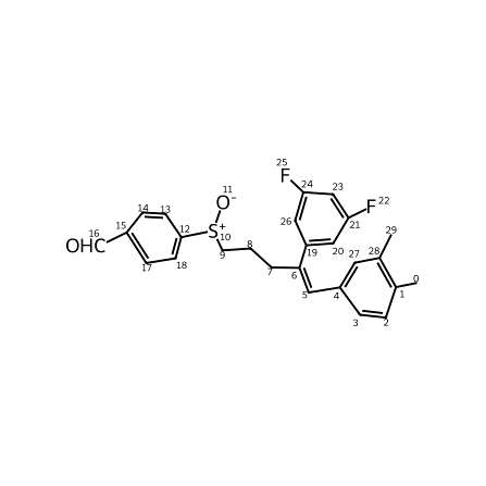 Cc1ccc(/C=C(/CCC[S+]([O-])c2ccc(C=O)cc2)c2cc(F)cc(F)c2)cc1C